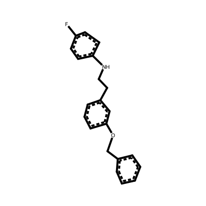 Fc1ccc(NCCc2cccc(OCc3ccccc3)c2)cc1